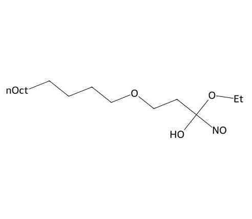 CCCCCCCCCCCCOCCC(O)(N=O)OCC